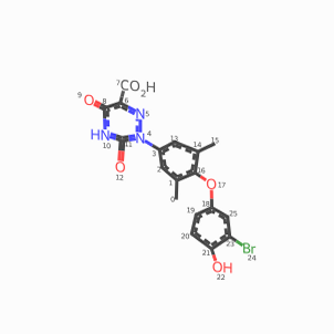 Cc1cc(-n2nc(C(=O)O)c(=O)[nH]c2=O)cc(C)c1Oc1ccc(O)c(Br)c1